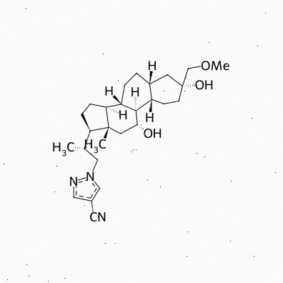 COC[C@@]1(O)CC[C@H]2[C@H](CC[C@@H]3[C@@H]2[C@H](O)C[C@]2(C)[C@@H]([C@@H](C)Cn4cc(C#N)cn4)CC[C@@H]32)C1